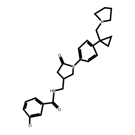 O=C(NCC1CC(=O)N(c2ccc(C3(CN4CCCC4)CC3)cc2)C1)c1cccc(Cl)c1